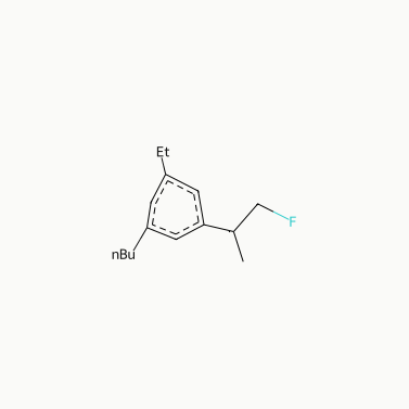 CCCCc1cc(CC)cc([C](C)CF)c1